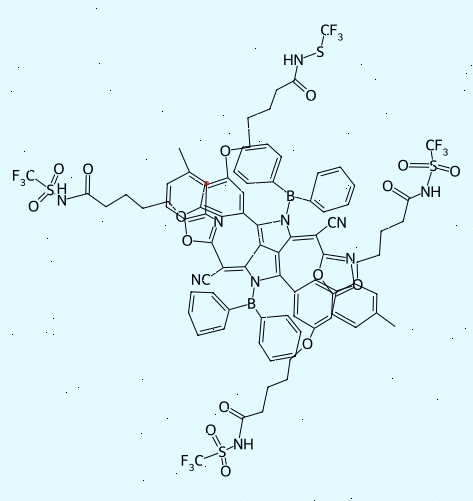 Cc1ccc2oc(/C(C#N)=c3\c4c(-c5cc(OCCCCC(=O)NS(=O)(=O)C(F)(F)F)cc(OCCCCC(=O)NS(=O)(=O)C(F)(F)F)c5)n(B(c5ccccc5)c5ccccc5)/c(=C(\C#N)c5nc6cc(C)ccc6o5)c4c(-c4cc(OCCCCC(=O)NSC(F)(F)F)cc(OCCCCC(=O)NS(=O)(=O)C(F)(F)F)c4)n3B(c3ccccc3)c3ccccc3)nc2c1